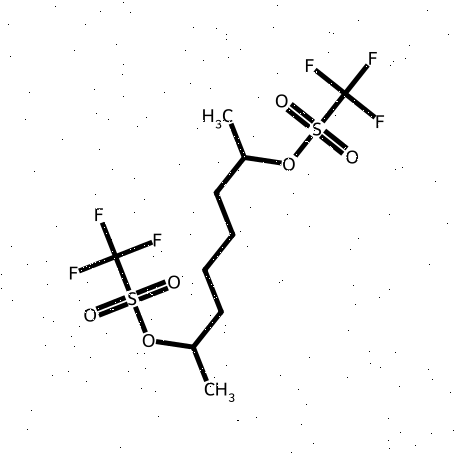 CC(CCCCC(C)OS(=O)(=O)C(F)(F)F)OS(=O)(=O)C(F)(F)F